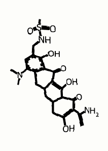 C=C(N)C1=C(O)CC2CC3Cc4c(N(C)C)cc(CNS(C)(=O)=O)c(O)c4C(=O)C3=C(O)C2C1=O